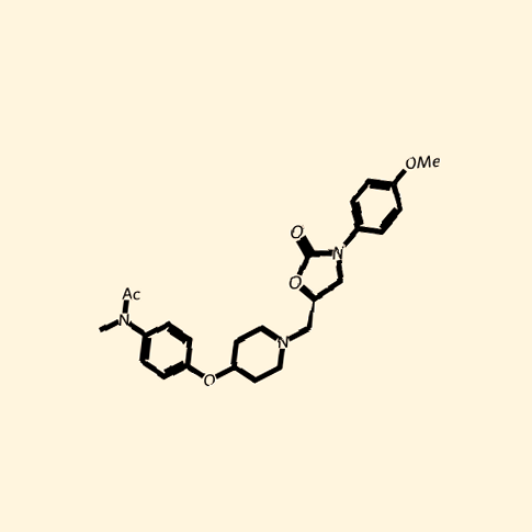 COc1ccc(N2C[C@@H](CN3CCC(Oc4ccc(N(C)C(C)=O)cc4)CC3)OC2=O)cc1